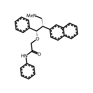 CNC[C@H](c1ccc2ccccc2c1)[C@H](OCC(=O)Nc1ccccc1)c1ccccc1